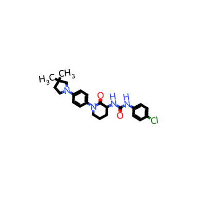 CC1(C)CCN(c2ccc(N3CCCC(NC(=O)Nc4ccc(Cl)cc4)C3=O)cc2)C1